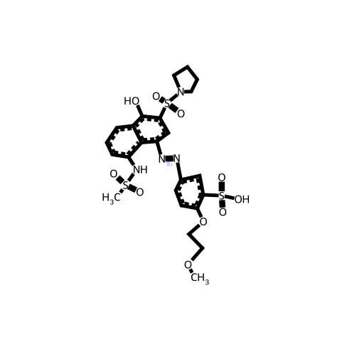 COCCOc1ccc(/N=N/c2cc(S(=O)(=O)N3CCCC3)c(O)c3cccc(NS(C)(=O)=O)c23)cc1S(=O)(=O)O